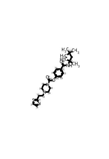 CC(C)(C)CC(C)(C)NC(=O)c1ccc(OC(=O)N2CCN(CCc3nccs3)CC2)cc1